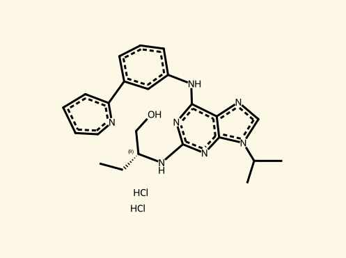 CC[C@H](CO)Nc1nc(Nc2cccc(-c3ccccn3)c2)c2ncn(C(C)C)c2n1.Cl.Cl